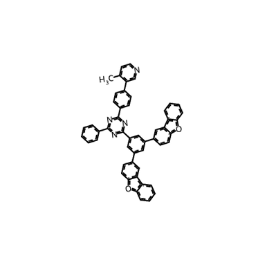 Cc1ccncc1-c1ccc(-c2nc(-c3ccccc3)nc(-c3cc(-c4ccc5oc6ccccc6c5c4)cc(-c4ccc5oc6ccccc6c5c4)c3)n2)cc1